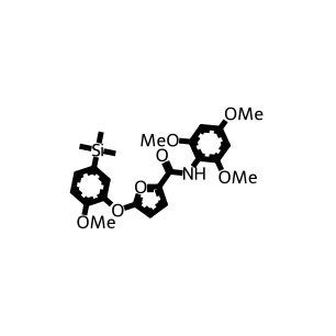 COc1cc(OC)c(NC(=O)c2ccc(Oc3cc([Si](C)(C)C)ccc3OC)o2)c(OC)c1